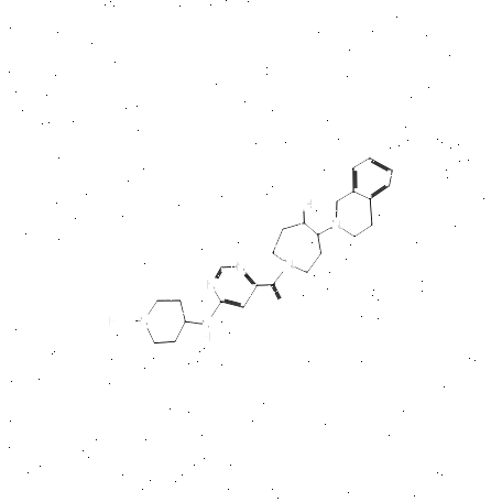 CN1CCC(Nc2cc(C(=O)N3CCC(O)C(N4CCc5ccccc5C4)CC3)ncn2)CC1